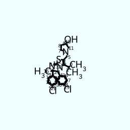 CC(C)C1=C(CN2CC[C@@H](O)C2)SC2=NC(C)(c3ccc(Cl)cc3)C(c3ccc(Cl)cc3)N21